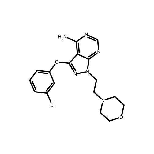 Nc1ncnc2c1c(Oc1cccc(Cl)c1)nn2CCN1CCOCC1